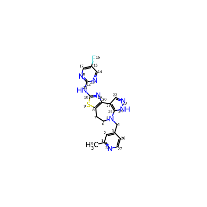 Cc1cc(CN2CCc3sc(Nc4ncc(F)cn4)nc3-c3cn[nH]c32)ccn1